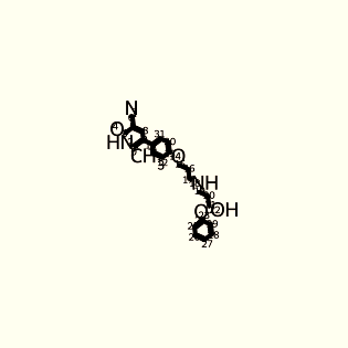 Cc1[nH]c(=O)c(C#N)cc1-c1ccc(OCCCNCCC(O)Oc2ccccc2)cc1